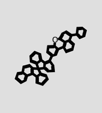 c1ccc(-c2ccc3c4c(cccc24)-c2cc(-c4cccc5c4-c4ccccc4C54c5ccccc5-c5c4ccc4ccccc54)ccc2O3)cc1